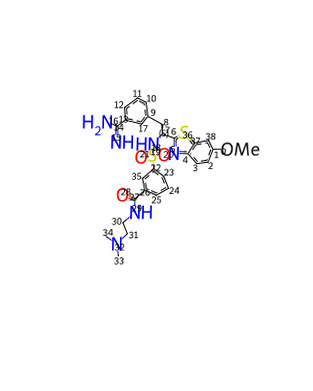 COc1ccc2nc([C@H](Cc3cccc(C(=N)N)c3)NS(=O)(=O)c3cccc(C(=O)NCCN(C)C)c3)sc2c1